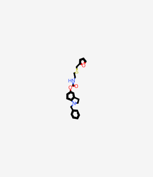 O=C(NCCSCc1ccco1)Oc1ccc2c(c1)CCN2Cc1ccccc1